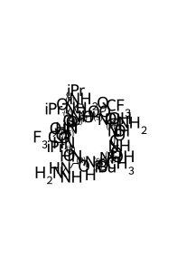 CC[C@H](C)[C@@H]1NC(=O)[C@@H](CCCNC(=N)N)NC(=O)[C@H](CC(C)C)NC(=O)[C@H]([C@H](OC(=O)C(F)(F)F)C(C)C)NC(=O)[C@@H](NC(=O)[C@H](CC(C)C)NC(=O)[C@H](N)CC(C)C)[C@@H](c2ccccc2)OC(=O)[C@H](COC(=O)C(F)(F)F)NC(=O)[C@H]([C@H](O)C(N)=O)NC(=O)CNC(=O)[C@H]([C@H](C)O)NC1=O